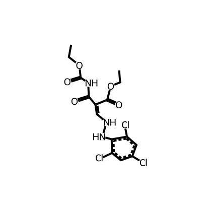 CCOC(=O)NC(=O)C(=CNNc1c(Cl)cc(Cl)cc1Cl)C(=O)OCC